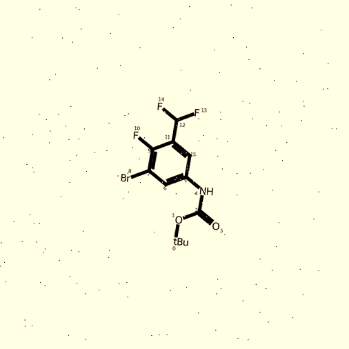 CC(C)(C)OC(=O)Nc1cc(Br)c(F)c(C(F)F)c1